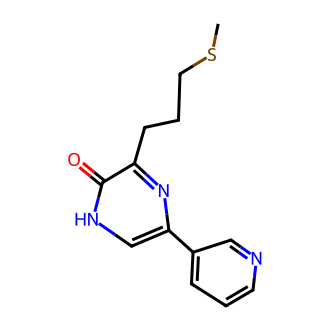 CSCCCc1nc(-c2cccnc2)c[nH]c1=O